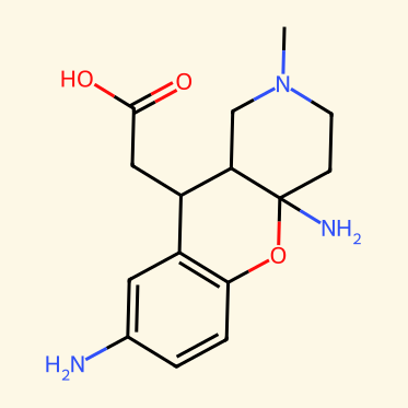 CN1CCC2(N)Oc3ccc(N)cc3C(CC(=O)O)C2C1